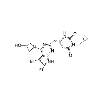 CCc1[nH]c2nc(Sc3cc(=O)n(CC4CC4)c(=O)[nH]3)nc(N3CC(O)C3)c2c1Br